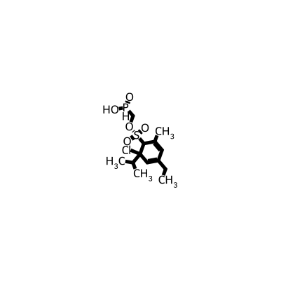 CCC1=CC(Cl)(C(C)C)C(S(=O)(=O)OC[PH](=O)O)C(C)=C1